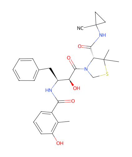 Cc1c(O)cccc1C(=O)N[C@@H](Cc1ccccc1)[C@H](O)C(=O)N1CSC(C)(C)[C@H]1C(=O)NC1(C#N)CC1